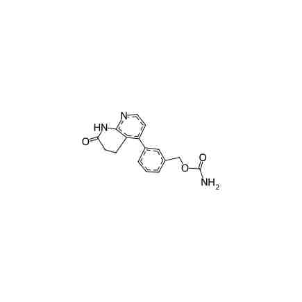 NC(=O)OCc1cccc(-c2ccnc3c2CCC(=O)N3)c1